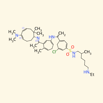 C=C(NC1=CCC=C(C)C(/C(C)=N/C2CC/C=C(N(C)C)\C=C/CC2(C)C)=C1)C1=CC=C(S(=O)(=O)NCC(C)CCCCNCC)C=C(Cl)C1